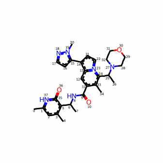 Cc1cc(C)c(C(C)NC(=O)c2cc3c(-c4ccnn4C)ccn3c(C(C)N3CCOCC3)c2C)c(=O)[nH]1